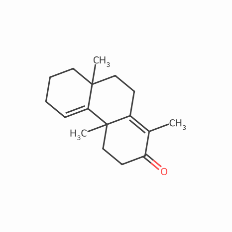 CC1=C2CCC3(C)CCCC=C3C2(C)CCC1=O